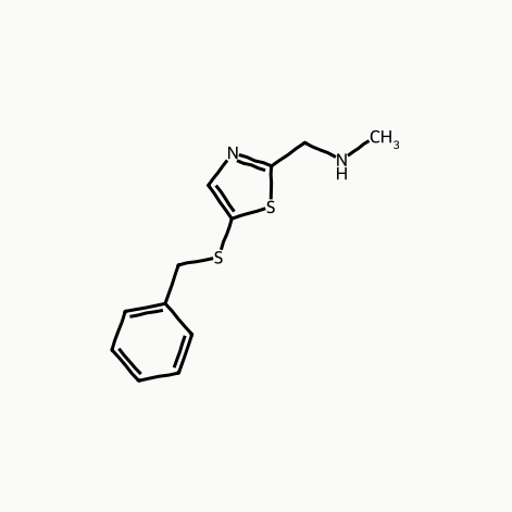 CNCc1ncc(SCc2ccccc2)s1